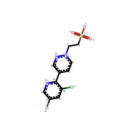 O=S(=O)([O-])CC[n+]1ccc(-c2ncc(Cl)cc2Cl)cn1